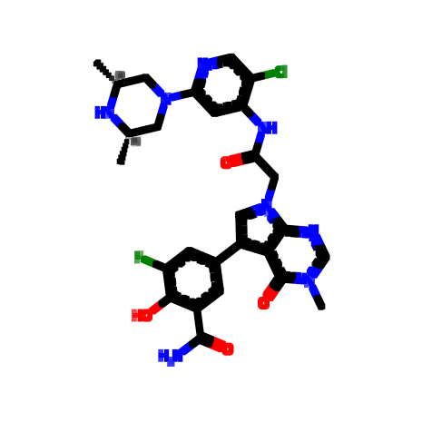 C[C@@H]1CN(c2cc(NC(=O)Cn3cc(-c4cc(F)c(O)c(C(N)=O)c4)c4c(=O)n(C)cnc43)c(Cl)cn2)C[C@H](C)N1